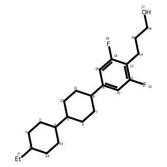 CCC1CCC(C2CCC(c3cc(F)c(CCCO)c(F)c3)CC2)CC1